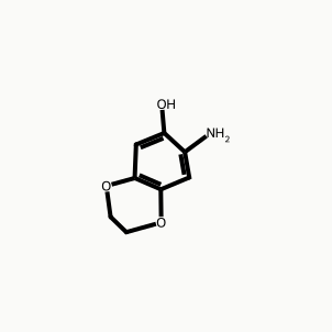 Nc1cc2c(cc1O)OCCO2